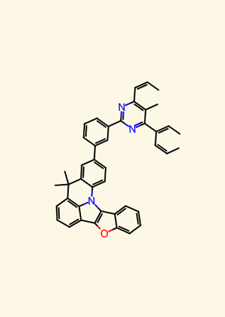 C/C=C\C(=C/C)c1nc(-c2cccc(-c3ccc4c(c3)C(C)(C)c3cccc5c6oc7ccccc7c6n-4c35)c2)nc(/C=C\C)c1C